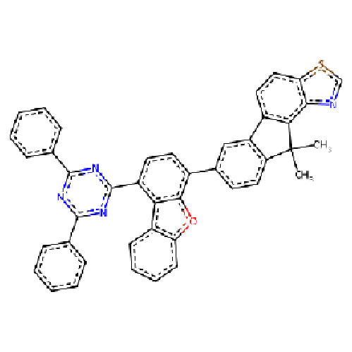 CC1(C)c2ccc(-c3ccc(-c4nc(-c5ccccc5)nc(-c5ccccc5)n4)c4c3oc3ccccc34)cc2-c2ccc3scnc3c21